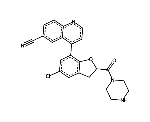 N#Cc1ccc2nccc(-c3cc(Cl)cc4c3O[C@@H](C(=O)N3CCNCC3)C4)c2c1